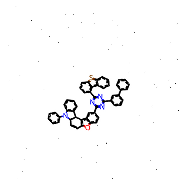 C1=CC2C(c3ccccc3N2c2ccccc2)c2c1oc1ccc(-c3nc(-c4cccc(-c5ccccc5)c4)nc(-c4cccc5sc6ccccc6c45)n3)cc21